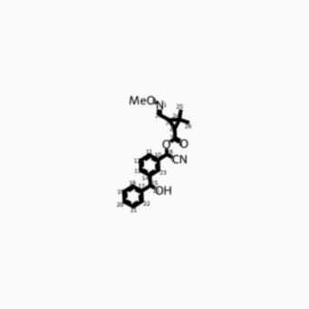 CON=CC1C(C(=O)OC(C#N)c2cccc(C(O)c3ccccc3)c2)C1(C)C